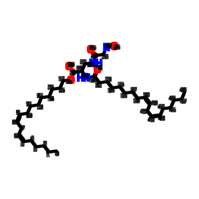 CCCCC/C=C\C/C=C\CCCCCCCCOC(=O)C(CNC(=O)CN=O)NC(=O)CCCCCCC/C=C\C/C=C\CCCCC